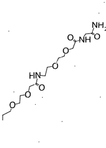 CCCOCCOCC(=O)NCCOCCOCC(=O)NCC(N)=O